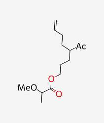 C=CCCC(CCCOC(=O)C(C)OC)C(C)=O